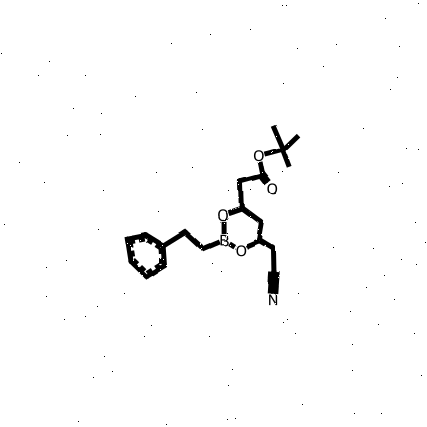 CC(C)(C)OC(=O)CC1CC(CC#N)OB(CCc2ccccc2)O1